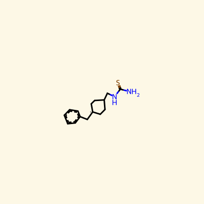 NC(=S)NCC1CC[C](Cc2ccccc2)CC1